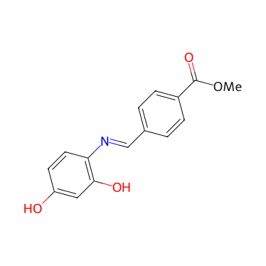 COC(=O)c1ccc(C=Nc2ccc(O)cc2O)cc1